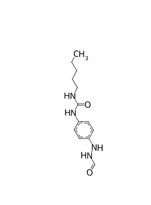 CCCCCNC(=O)Nc1ccc(NNC=O)cc1